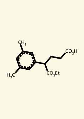 CCOC(=O)C(CCC(=O)O)c1cc(C)cc(C)c1